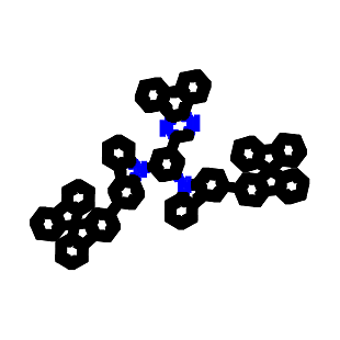 c1ccc2c(c1)-c1ccccc1C21c2ccccc2-c2ccc(-c3ccc4c(c3)c3ccccc3n4-c3cc(-c4cnc5c6ccccc6c6ccccc6c5n4)cc(-n4c5ccccc5c5cc(-c6ccc7c(c6)C6(c8ccccc8-c8ccccc86)c6ccccc6-7)ccc54)c3)cc21